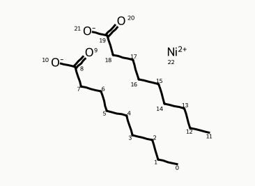 CCCCCCCCC(=O)[O-].CCCCCCCCC(=O)[O-].[Ni+2]